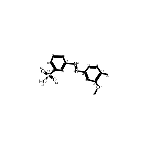 COc1cc(N=Nc2cccc(S(=O)(=O)O)c2)ccc1C